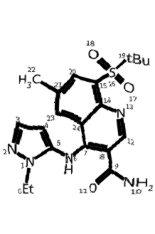 CCn1nccc1Nc1c(C(N)=O)cnc2c(S(=O)(=O)C(C)(C)C)cc(C)cc12